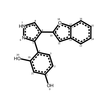 Oc1ccc(-c2n[nH]cc2-c2cc3ccccc3o2)c(O)c1